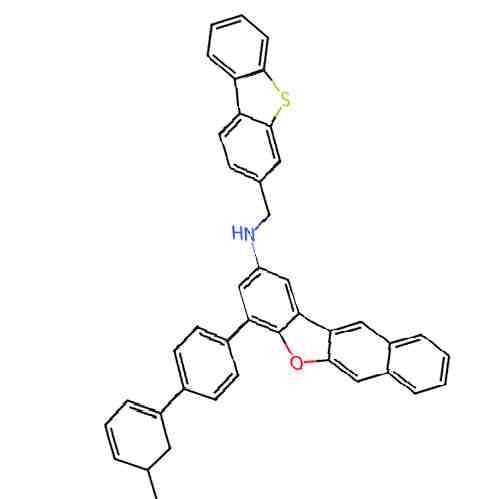 CC1C=CC=C(c2ccc(-c3cc(NCc4ccc5c(c4)sc4ccccc45)cc4c3oc3cc5ccccc5cc34)cc2)C1